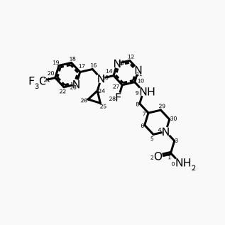 NC(=O)CN1CCC(CNc2ncnc(N(Cc3ccc(C(F)(F)F)cn3)C3CC3)c2F)CC1